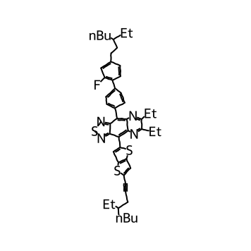 CCCCC(CC)CC#Cc1cc2sc(-c3c4nsnc4c(-c4ccc(-c5ccc(CCC(CC)CCCC)cc5F)cc4)c4nc(CC)c(CC)nc34)cc2s1